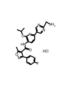 Cc1onc(-c2ccc(F)cc2)c1C(=O)Nc1ccc(-c2cnc(CN)nc2)nc1OC(C)C.Cl